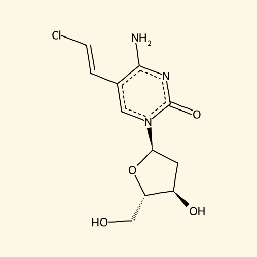 Nc1nc(=O)n([C@H]2C[C@@H](O)[C@H](CO)O2)cc1C=CCl